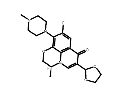 C[C@H]1COc2c(N3CCN(C)CC3)c(F)cc3c(=O)c(C4OCCO4)cn1c23